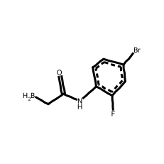 BCC(=O)Nc1ccc(Br)cc1F